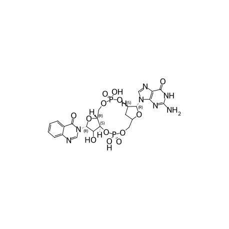 Nc1nc2c(ncn2[C@@H]2OC3COP(=O)(O)O[C@H]4C(O)[C@H](n5cnc6ccccc6c5=O)O[C@@H]4COP(=O)(O)O[C@H]2C3)c(=O)[nH]1